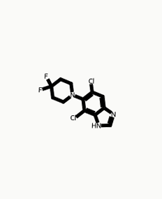 FC1(F)CCN(c2c(Cl)cc3nc[nH]c3c2Cl)CC1